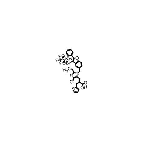 CCc1nc(Cl)c(/C=C(\Cc2cccs2)C(=O)O)n1Cc1ccc2oc(-c3ccccc3NS(=O)(=O)C(F)(F)F)c(Br)c2c1